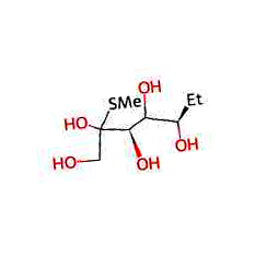 CC[C@@H](O)C(O)[C@@H](O)C(O)(CO)SC